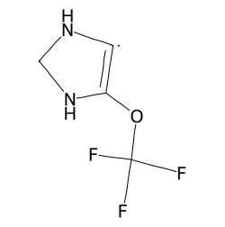 FC(F)(F)OC1=[C]NCN1